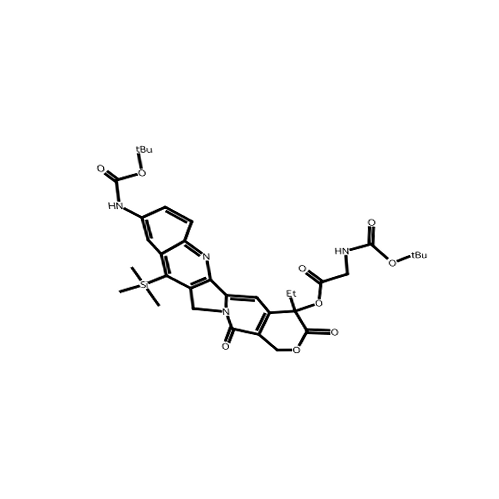 CCC1(OC(=O)CNC(=O)OC(C)(C)C)C(=O)OCc2c1cc1n(c2=O)Cc2c-1nc1ccc(NC(=O)OC(C)(C)C)cc1c2[Si](C)(C)C